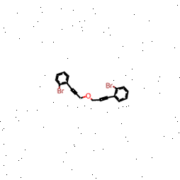 Brc1ccccc1C#CCOCC#Cc1ccccc1Br